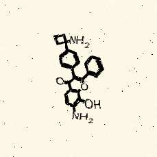 Nc1ccc2c(=O)c(-c3ccc(C4(N)CCC4)cc3)c(-c3ccccc3)oc2c1O